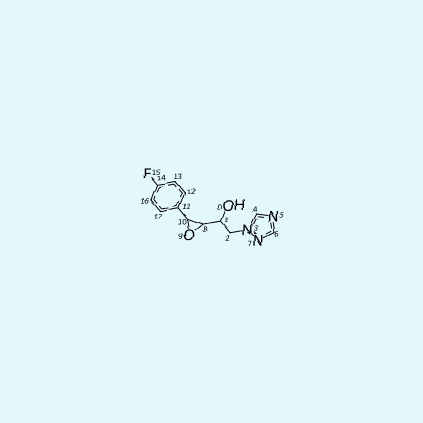 OC(Cn1cncn1)C1OC1c1ccc(F)cc1